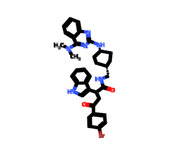 CN(C)c1nc(N[C@H]2CC[C@@H](CNC(=O)C(CC(=O)c3ccc(Br)cc3)c3c[nH]c4ccccc34)CC2)nc2ccccc12